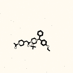 CCOc1ccc(C(c2ccccc2)N2CCN(C(=O)CC3CCN(C(C)=O)CC3)[C@@H](C(C)(C)C)C2)cc1